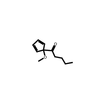 CCCCC(=O)C1(OC)C=CC=C1